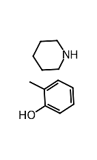 C1CCNCC1.Cc1ccccc1O